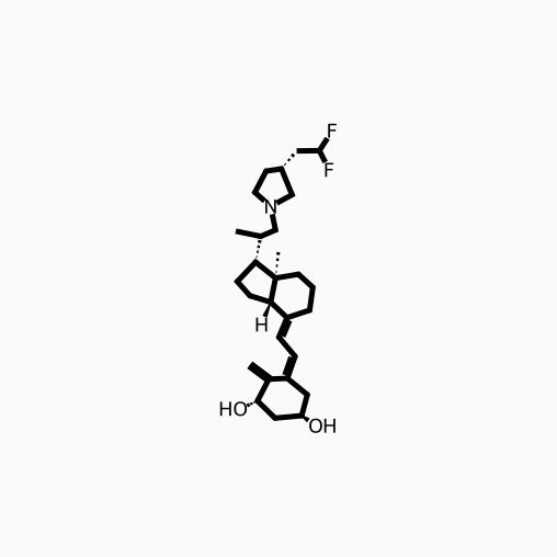 C=C1/C(=C\C=C2/CCC[C@]3(C)[C@@H](C(C)CN4CC[C@H](CC(F)F)C4)CC[C@@H]23)C[C@@H](O)C[C@@H]1O